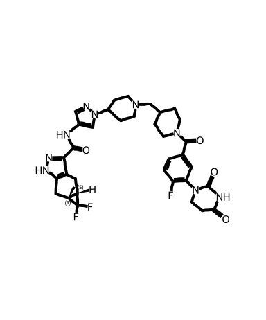 C[C@@]12Cc3[nH]nc(C(=O)Nc4cnn(C5CCN(CC6CCN(C(=O)c7ccc(F)c(N8CCC(=O)NC8=O)c7)CC6)CC5)c4)c3C[C@@H]1C2(F)F